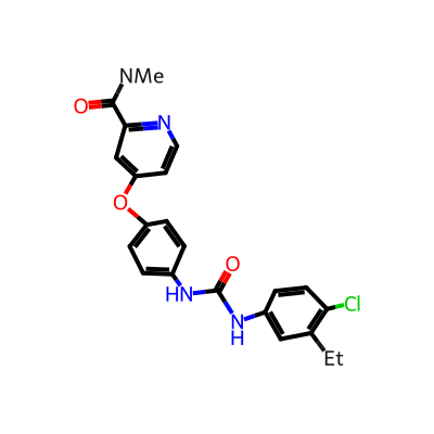 CCc1cc(NC(=O)Nc2ccc(Oc3ccnc(C(=O)NC)c3)cc2)ccc1Cl